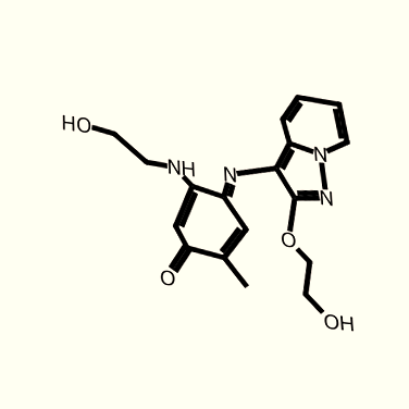 CC1=C/C(=N\c2c(OCCO)nn3ccccc23)C(NCCO)=CC1=O